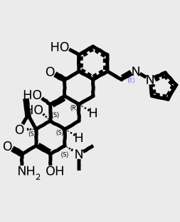 C=C1O[C@]12C(C(N)=O)=C(O)[C@@H](N(C)C)[C@@H]1C[C@@H]3Cc4c(/C=N/n5cccc5)ccc(O)c4C(=O)C3=C(O)[C@@]12O